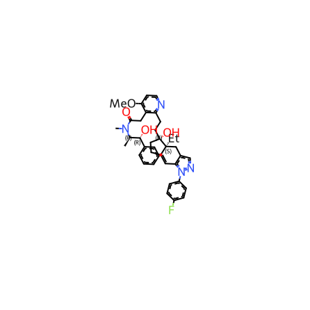 CC[C@]12Cc3cnn(-c4ccc(F)cc4)c3C=C1CC[C@@]2(O)CCc1nccc(OC)c1CC(=O)N(C)[C@H](C)[C@H](O)c1ccccc1